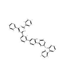 c1ccc(-c2cc(-c3cccc(-c4ccc5c(c4)oc4ccc(-n6c7ccccc7c7ccccc76)cc45)c3)nc(-c3ccccc3)n2)cc1